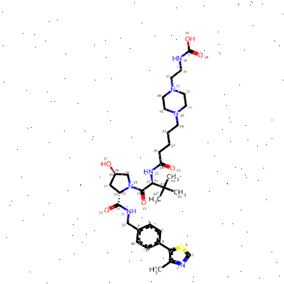 Cc1ncsc1-c1ccc(CNC(=O)[C@@H]2C[C@@H](O)CN2C(=O)[C@@H](NC(=O)CCCCN2CCN(CCNC(=O)O)CC2)C(C)(C)C)cc1